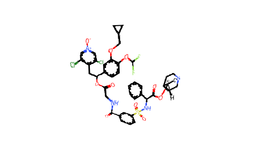 O=C(CNC(=O)c1cccc(S(=O)(=O)NC(C(=O)O[C@H]2CN3CCC2CC3)c2ccccc2)c1)OC(Cc1c(Cl)c[n+]([O-])cc1Cl)c1ccc(OC(F)F)c(OCC2CC2)c1